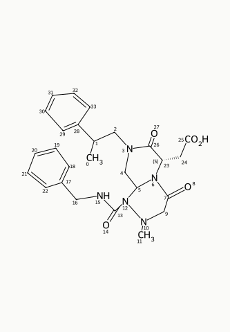 CC(CN1CC2N(C(=O)CN(C)N2C(=O)NCc2ccccc2)[C@@H](CC(=O)O)C1=O)c1ccccc1